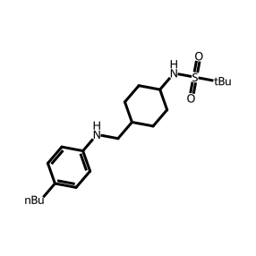 CCCCc1ccc(NCC2CCC(NS(=O)(=O)C(C)(C)C)CC2)cc1